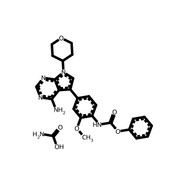 COc1cc(-c2cn(C3CCOCC3)c3ncnc(N)c23)ccc1NC(=O)Oc1ccccc1.NC(=O)O